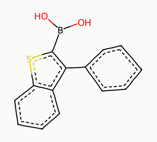 OB(O)c1sc2ccccc2c1-c1ccccc1